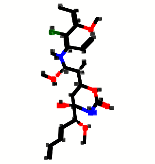 C=C/C=C/[C@@H](OC)[C@@]1(O)CC([C@@H](C)[C@H](OC)N(C)/C(C=C)=C(Cl)/C(=C\C)OC)OC(=O)N1